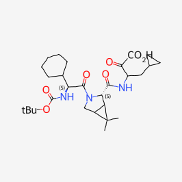 CC(C)(C)OC(=O)N[C@H](C(=O)N1CC2C([C@H]1C(=O)NC(CC1CC1)C(=O)C(=O)O)C2(C)C)C1CCCCC1